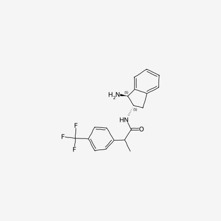 CC(C(=O)N[C@H]1Cc2ccccc2[C@@H]1N)c1ccc(C(F)(F)F)cc1